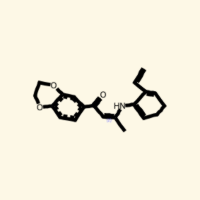 C=CC1=CCCC=C1N/C(C)=C\C(=O)c1ccc2c(c1)OCCO2